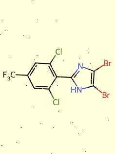 FC(F)(F)c1cc(Cl)c(-c2nc(Br)c(Br)[nH]2)c(Cl)c1